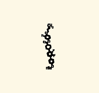 C=CCCOc1ccc(OC(=O)C2CCC(c3ccc(-c4ccc(OCCCC)cc4)c(F)c3F)CC2)cc1F